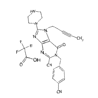 CC#CCn1c(N2CCNCC2)nc2nc(C#N)n(Cc3ccc(C#N)cc3)c(=O)c21.O=C(O)C(F)(F)F